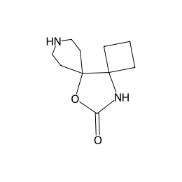 O=C1NC2(CCC2)C2(CCNCC2)O1